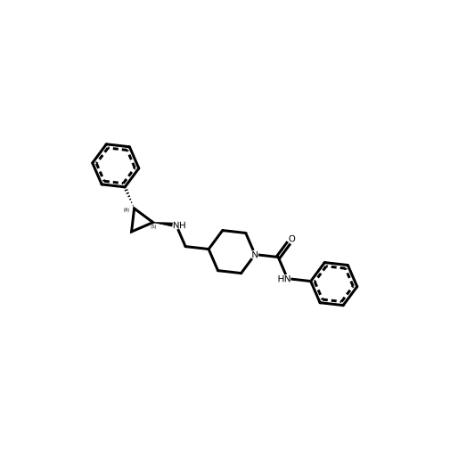 O=C(Nc1ccccc1)N1CCC(CN[C@H]2C[C@@H]2c2ccccc2)CC1